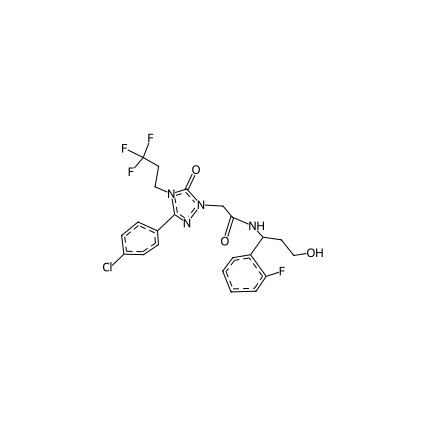 O=C(Cn1nc(-c2ccc(Cl)cc2)n(CCC(F)(F)F)c1=O)NC(CCO)c1ccccc1F